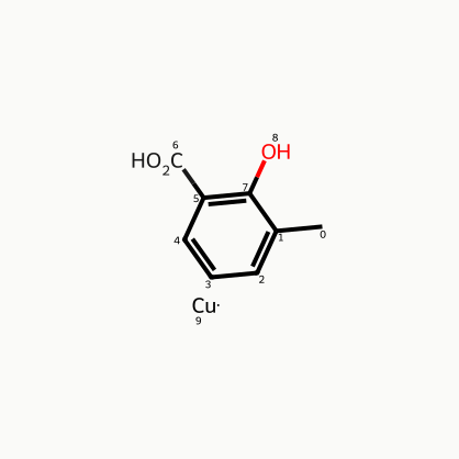 Cc1cccc(C(=O)O)c1O.[Cu]